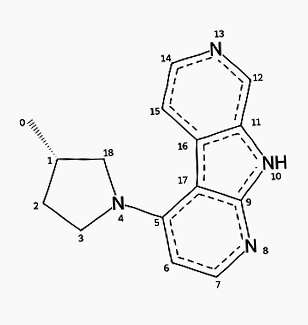 C[C@H]1CCN(c2ccnc3[nH]c4cnccc4c23)C1